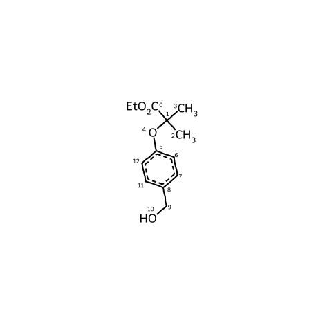 CCOC(=O)C(C)(C)Oc1ccc(CO)cc1